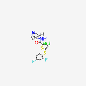 Cl.O=C(N[C@H]1CN2CCC1CC2)c1ccc(Sc2ccc(F)cc2F)s1